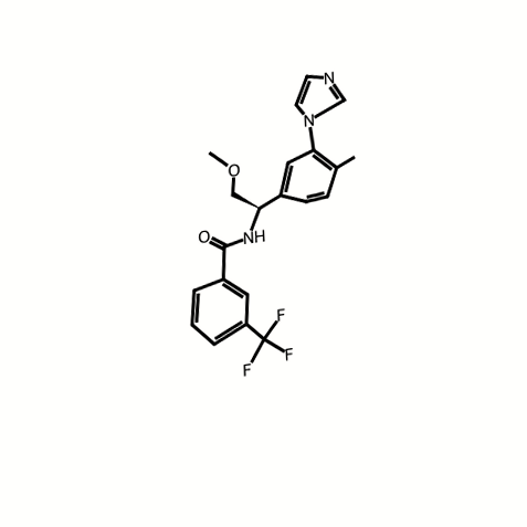 COC[C@H](NC(=O)c1cccc(C(F)(F)F)c1)c1ccc(C)c(-n2ccnc2)c1